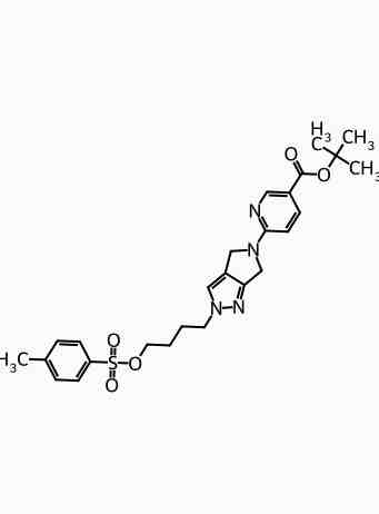 Cc1ccc(S(=O)(=O)OCCCCn2cc3c(n2)CN(c2ccc(C(=O)OC(C)(C)C)cn2)C3)cc1